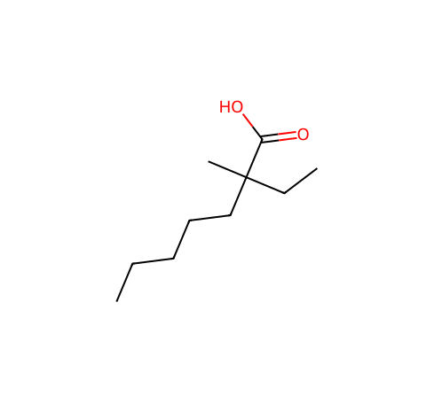 CCCCCC(C)(CC)C(=O)O